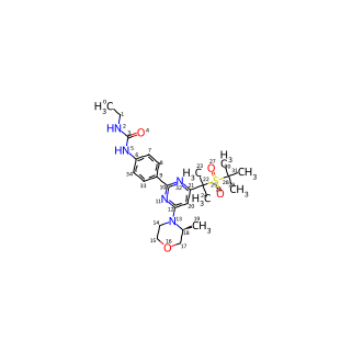 CCNC(=O)Nc1ccc(-c2nc(N3CCOC[C@@H]3C)cc(C(C)(C)S(=O)(=O)C(C)(C)C)n2)cc1